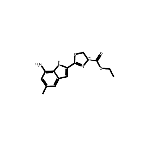 CCOC(=O)[C@@H]1CSC(c2cc3cc(C)cc(N)c3[nH]2)=N1